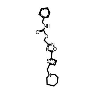 O=C(NCc1ccccc1)OCc1noc(-c2ccc(CN3CCCCCC3)s2)n1